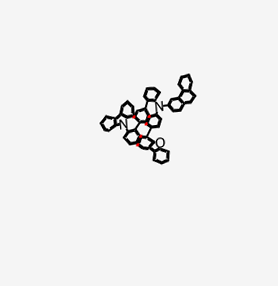 c1ccc(N(c2ccc(-c3cccc4c3oc3ccccc34)cc2)c2ccc3ccc4ccccc4c3c2)c(-c2ccc(-c3ccccc3-n3c4ccccc4c4ccccc43)cc2)c1